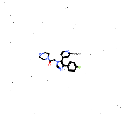 CC(=O)Nc1cc(-c2c(-c3ccc(F)cc3)ncn2CC(=O)N2CCNCC2)ccn1